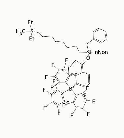 CCCCCCCCC[Si](CCCCCCCC[Si](C)(CC)CC)(Cc1ccccc1)Oc1cccc2c([B-](c3c(F)c(F)c(F)c(F)c3F)(c3c(F)c(F)c(F)c(F)c3F)c3c(F)c(F)c(F)c(F)c3F)c(F)ccc12